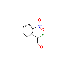 O=CC(F)c1ccccc1[N+](=O)[O-]